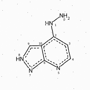 NNc1ccnc2n[nH]cc12